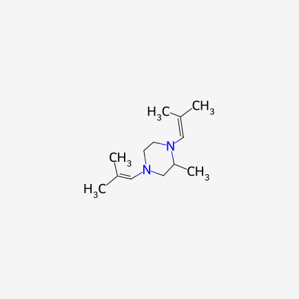 CC(C)=CN1CCN(C=C(C)C)C(C)C1